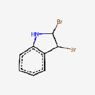 BrC1Nc2ccccc2C1Br